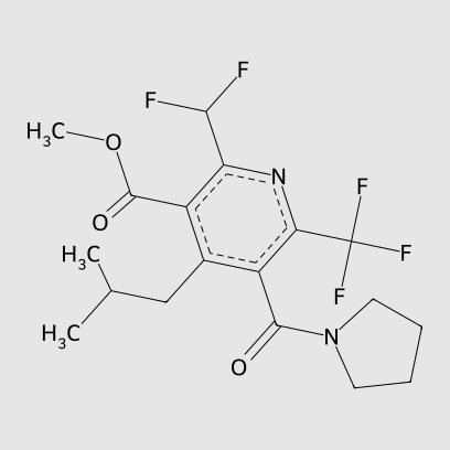 COC(=O)c1c(C(F)F)nc(C(F)(F)F)c(C(=O)N2CCCC2)c1CC(C)C